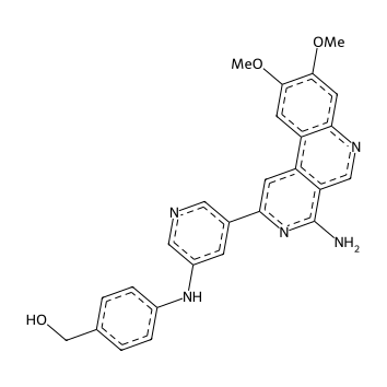 COc1cc2ncc3c(N)nc(-c4cncc(Nc5ccc(CO)cc5)c4)cc3c2cc1OC